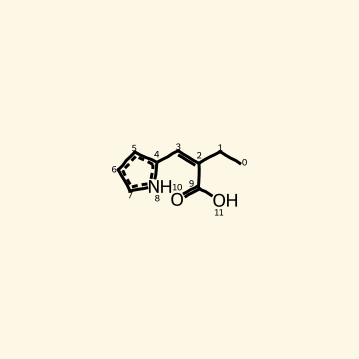 CCC(=Cc1ccc[nH]1)C(=O)O